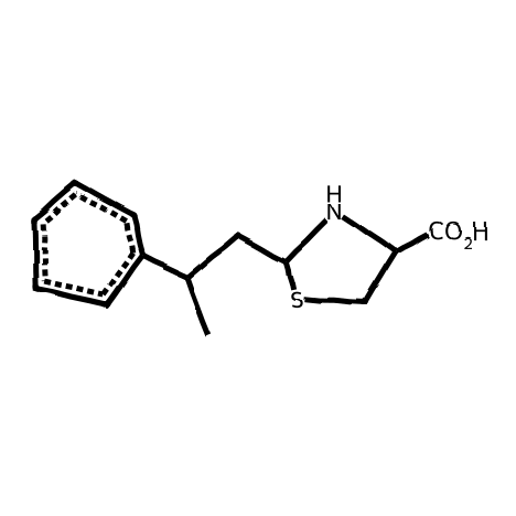 CC(CC1NC(C(=O)O)CS1)c1ccccc1